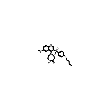 CCCCOc1ccc(S(=O)(=O)c2cnc3ccc(SC)cc3c2N2CCC(=O)N(C)CC2)cc1